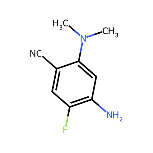 CN(C)c1cc(N)c(F)cc1C#N